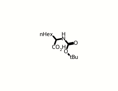 CCCCCCC(NC(=O)OC(C)(C)C)C(=O)O